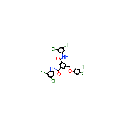 O=C(Nc1cc(Cl)cc(Cl)c1)c1cc(COc2ccc(Cl)c(Cl)c2)cc(C(=O)Nc2cc(Cl)cc(Cl)c2)c1